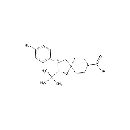 CC(C)(C)C1OC2(CCN(C(=O)O)CC2)C[C@H]1c1ccc(O)cc1